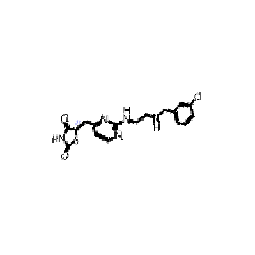 O=C1NC(=O)/C(=C/c2ccnc(NCCNCc3cccc(Cl)c3)n2)S1